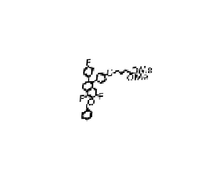 COC(CCCCOc1ccc(C2=C(c3ccc(F)cc3)CCc3c2cc(F)c(OCc2ccccc2)c3F)cc1)OC